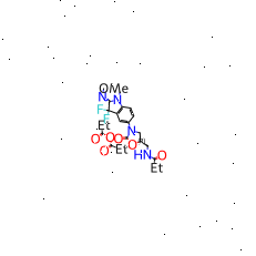 CCC(=O)NC[C@@H]1CN(c2ccc3c(c2)C(F)(F)C(=NOC)N3C)C(=O)O1.CCC(=O)OC(=O)CC